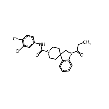 CCC(=O)N1CC2(CCN(C(=O)Nc3ccc(Cl)c(Cl)c3)CC2)c2ccccc21